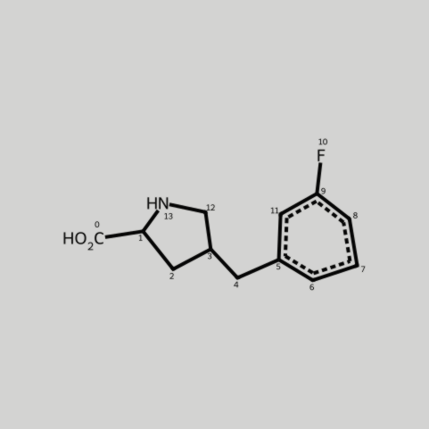 O=C(O)C1CC(Cc2cccc(F)c2)CN1